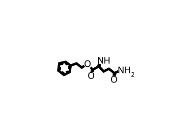 N=C(CCC(N)=O)C(=O)OCCc1ccccc1